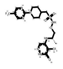 C[C@@H](CONS(=O)(=O)CC1CCN(c2ncc(C(F)(F)F)cn2)CC1)Nc1cn[nH]c(=O)c1C(F)(F)F